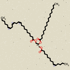 CCCC/C=C\CCCCCCCC(=O)OC[C@H](COC(=O)CCCCCCCC/C=C\C/C=C\C/C=C\CCCCC)OC(=O)CCCCCCCCCCCCCCCCC